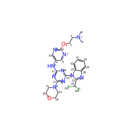 CN(C)CCOc1ncc(Nc2nc(N3CCOCC3)nc(-n3c(C(F)F)nc4ccccc43)n2)cn1